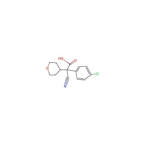 N#CC(C(=O)O)(c1ccc(Cl)cc1)C1CCOCC1